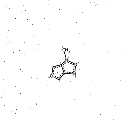 Cn1nnc2cocc21